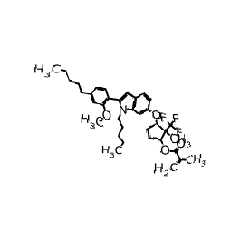 C=C(C)C(=O)OC1CCC(Oc2ccc3cc(-c4ccc(CCCCC)cc4OC)n(CCCCC)c3c2)C1(C)C(F)(F)F